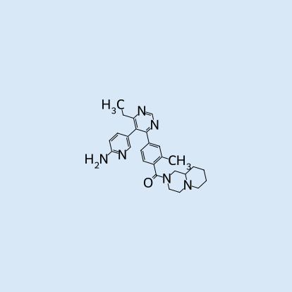 CCc1ncnc(-c2ccc(C(=O)N3CCN4CCCCC4C3)c(C)c2)c1-c1ccc(N)nc1